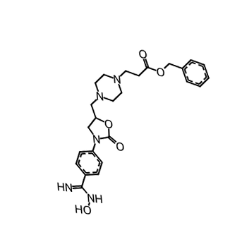 N=C(NO)c1ccc(N2CC(CN3CCN(CCC(=O)OCc4ccccc4)CC3)OC2=O)cc1